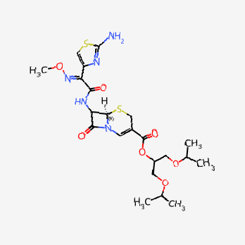 CON=C(C(=O)NC1C(=O)N2C=C(C(=O)OC(COC(C)C)COC(C)C)CS[C@H]12)c1csc(N)n1